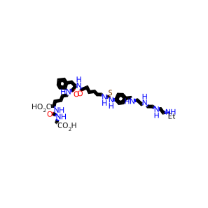 CCNCCNCCNCCNCc1ccc(NC(=S)NCCCCCC(=O)NC(Cc2ccccc2)C(=O)NCCCCC(NC(=O)NCC(=O)O)C(=O)O)cc1